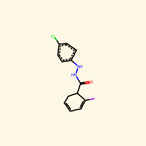 O=C(NNc1ccc(Cl)cc1)C1CC=CC=C1I